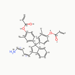 C=CC(=O)Oc1ccc(C2(c3ccc(OC(=O)C=C)c(C)c3)C=C(/C=C\C=C/N)c3ccccc32)cc1C